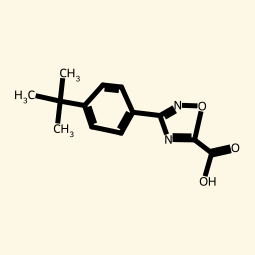 CC(C)(C)c1ccc(-c2noc(C(=O)O)n2)cc1